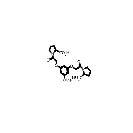 COc1cc(OCC(=O)N2CCCC2C(=O)O)cc(OCC(=O)N2CCCC2C(=O)O)c1